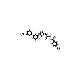 NCc1cccc(-c2cccc(-c3csc(NC(=O)CNC(=O)c4ccc(N)cc4)n3)c2)c1